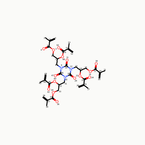 C=C(C)C(=O)OCC(Cn1c(=O)n(CC(COC(=O)C(=C)C)OC(=O)C(=C)C)c(=O)n(CC(COC(=O)C(=C)C)OC(=O)C(=C)C)c1=O)OC(=O)C(=C)C